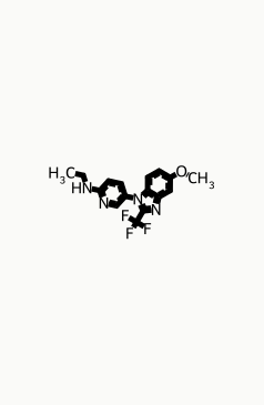 CCNc1ccc(-n2c(C(F)(F)F)nc3cc(OC)ccc32)cn1